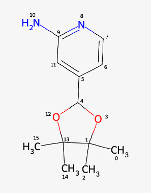 CC1(C)OC(c2ccnc(N)c2)OC1(C)C